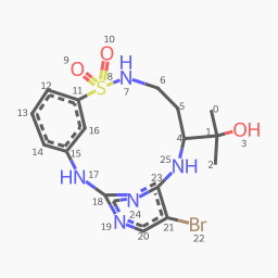 CC(C)(O)C1CCNS(=O)(=O)c2cccc(c2)Nc2ncc(Br)c(n2)N1